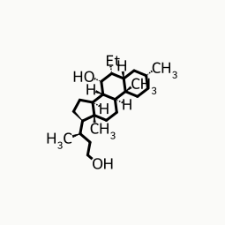 CC[C@H]1[C@@H](O)[C@@H]2[C@H](CC[C@]3(C)[C@@H]([C@H](C)CCO)CC[C@@H]23)[C@@]2(C)CC[C@@H](C)C[C@@H]12